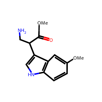 COC(=O)C(CN)c1c[nH]c2ccc(OC)cc12